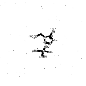 CCCC[N+](CCCC)(CCCC)CCCC.O=S(=O)(O)Cn1nnnc1S